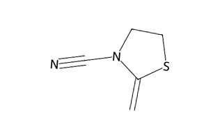 C=C1SCCN1C#N